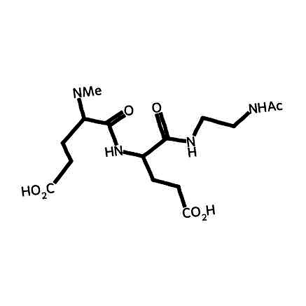 CNC(CCC(=O)O)C(=O)NC(CCC(=O)O)C(=O)NCCNC(C)=O